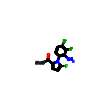 COC(=O)c1ccc(F)n1-c1ccc(Br)c(F)c1N